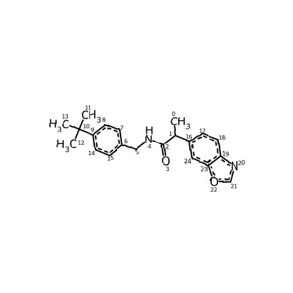 CC(C(=O)NCc1ccc(C(C)(C)C)cc1)c1ccc2ncoc2c1